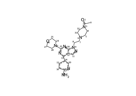 CC(=O)N1CCN(CCn2ncc3c(-c4ccc(N)nc4)nc(N4CCOCC4)nc32)CC1